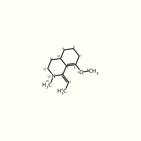 CC=C1C2=C(OC)CCCC2CCN1C